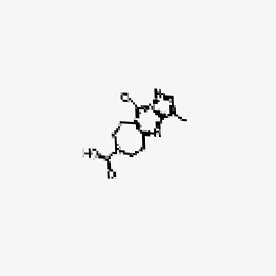 Cc1cnn2c(Cl)c3c(nc12)CCN(C(=O)O)CC3